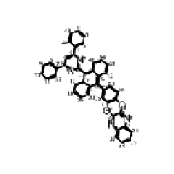 c1ccc(-c2cc(-c3ccccc3)nc(-c3c4ccccc4c(-c4ccc5c(c4)Oc4nc6ccccc6nc4O5)c4ccccc34)n2)cc1